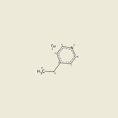 CCc1ccncc1.[Cu]